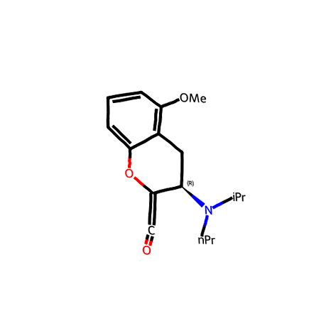 CCCN(C(C)C)[C@@H]1Cc2c(OC)cccc2OC1=C=O